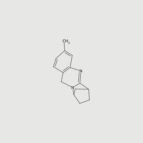 Cc1ccc2c(c1)N=C1C3CCC(C3)N1C2